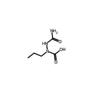 CCCN(NC(N)=O)C(=O)O